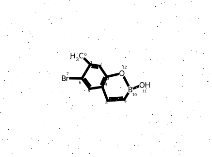 Cc1cc2c(cc1Br)C=CB(O)O2